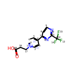 C=[N+](/C=C\C(=C/C)c1ccnc(C(F)(F)F)n1)CCC(=O)O